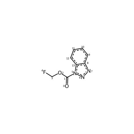 O=C(OCF)n1nnc2ccccc21